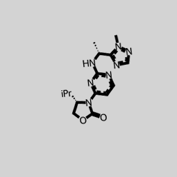 CC(C)[C@H]1COC(=O)N1c1ccnc(N[C@H](C)c2ncnn2C)n1